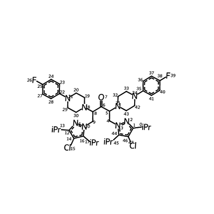 CC(C)c1nn(CC(C(=O)C(Cn2nc(C(C)C)c(Cl)c2C(C)C)N2CCN(c3ccc(F)cc3)CC2)N2CCN(c3ccc(F)cc3)CC2)c(C(C)C)c1Cl